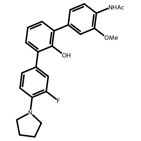 COc1cc(-c2cccc(-c3ccc(N4CCCC4)c(F)c3)c2O)ccc1NC(C)=O